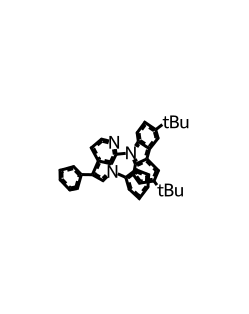 CC(C)(C)c1ccc2c(c1)c1cc(C(C)(C)C)ccc1n2-c1nccc2c(-c3ccccc3)cn(-c3ccccc3)c12